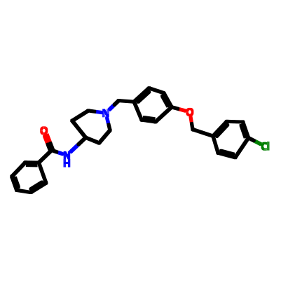 O=C(NC1CCN(Cc2ccc(OCc3ccc(Cl)cc3)cc2)CC1)c1ccccc1